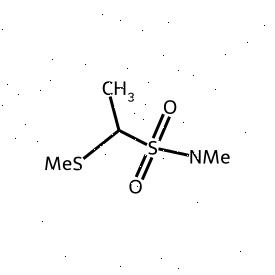 CNS(=O)(=O)C(C)SC